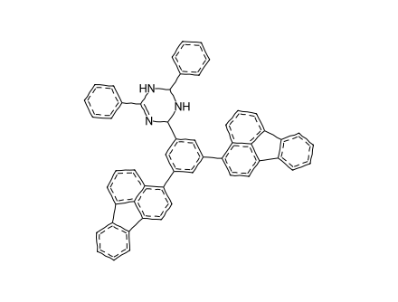 c1ccc(C2=NC(c3cc(-c4ccc5c6c(cccc46)-c4ccccc4-5)cc(-c4ccc5c6c(cccc46)-c4ccccc4-5)c3)NC(c3ccccc3)N2)cc1